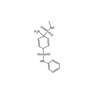 CNS(=O)(=O)C1(N)C=CC(S(=O)(=O)Nc2ccccc2)C=C1